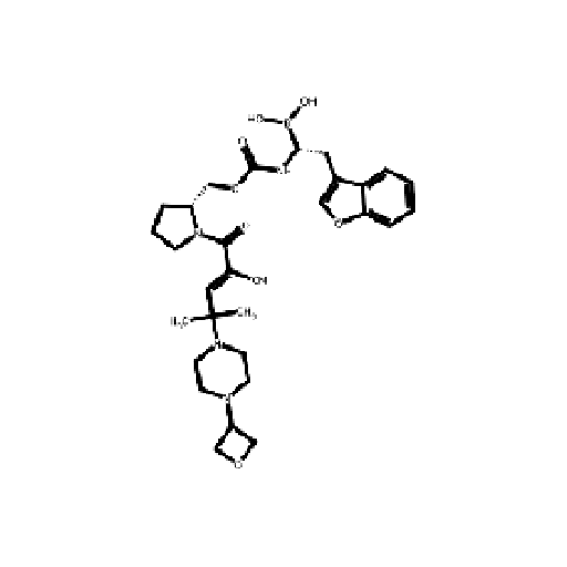 CC(C)(C=C(C#N)C(=O)N1CCC[C@@H]1COC(=O)N[C@@H](Cc1coc2ccccc12)B(O)O)N1CCN(C2COC2)CC1